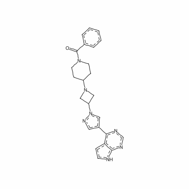 O=C(c1ccccc1)N1CCC(N2CC(n3cc(-c4ncnc5[nH]ccc45)cn3)C2)CC1